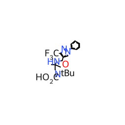 CC(C)(CN(C(=O)O)C(C)(C)C)NC(=O)c1cn(-c2ccccc2)nc1C(F)(F)F